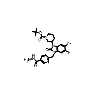 CC(C)(C)OC(=O)N1CCCC(n2c(=O)n(Cc3ccc(C(=O)NN)cn3)c3cc(F)c(Br)cc32)C1